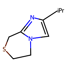 CC(C)c1cn2c(n1)CSCC2